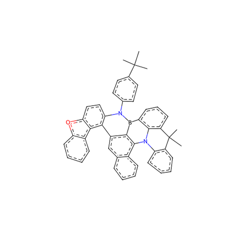 CC(C)(C)c1ccc(N2B3c4cccc5c4N(c4ccccc4C5(C)C)c4c3c(cc3ccccc43)-c3c2ccc2oc4ccccc4c32)cc1